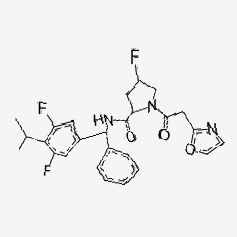 CC(C)c1c(F)cc(C(NC(=O)C2CC(F)CN2C(=O)Cc2ncco2)c2ccccc2)cc1F